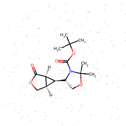 CC(C)(C)OC(=O)N1[C@@H]([C@H]2[C@H]3COC(=O)[C@H]32)COC1(C)C